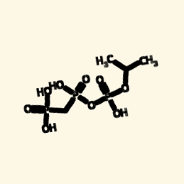 CC(C)OP(=O)(O)OP(=O)(O)CP(=O)(O)O